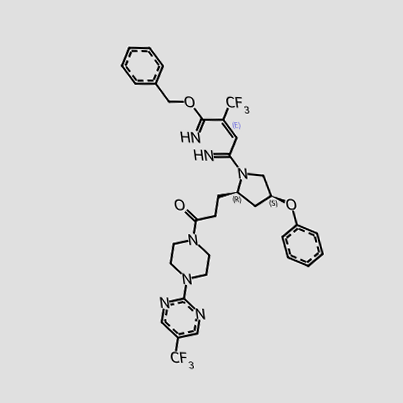 N=C(OCc1ccccc1)/C(=C\C(=N)N1C[C@@H](Oc2ccccc2)C[C@H]1CCC(=O)N1CCN(c2ncc(C(F)(F)F)cn2)CC1)C(F)(F)F